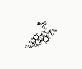 COC(=O)C(CCO[Si](C)(C)C(C)(C)C)c1cccc2c1C(=O)c1cccc(N(C#N)C(=O)OC)c1C2=O